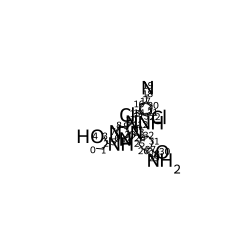 CCC(CO)Nc1ncc2nc(Nc3c(Cl)cc(C#N)cc3Cl)n(C3CCC(C(N)=O)CC3)c2n1